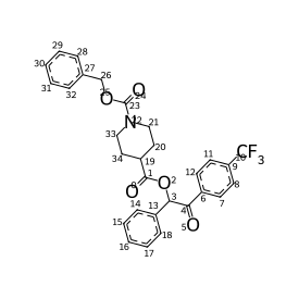 O=C(OC(C(=O)c1ccc(C(F)(F)F)cc1)c1ccccc1)C1CCN(C(=O)OCc2ccccc2)CC1